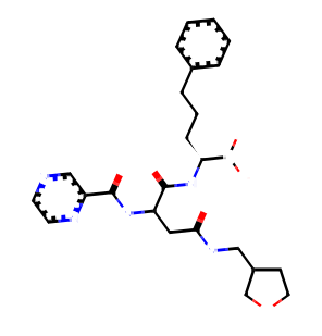 O=C(CC(NC(=O)c1cnccn1)C(=O)N[C@@H](CCCc1ccccc1)B(O)O)NCC1CCOC1